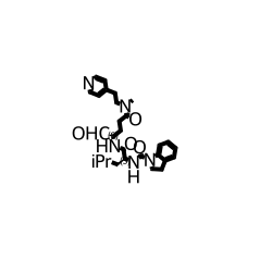 CC(C)C[C@H](NC(=O)N1CCc2ccccc21)C(=O)N[C@H](C=O)CCC(=O)N(C)CCc1ccncc1